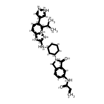 C=CC(=O)Nc1ccc2c(c1)C(=O)N([C@H]1CCC[C@@H](Nc3nc4ccc(-c5cn[nH]c5)c(C(C)C)n4n3)C1)C2